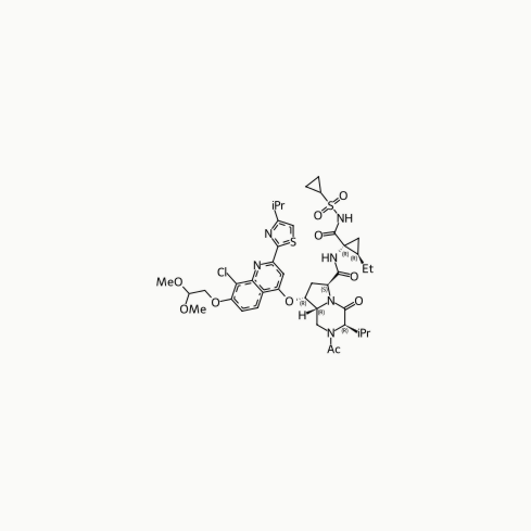 CC[C@@H]1C[C@]1(NC(=O)[C@@H]1C[C@@H](Oc2cc(-c3nc(C(C)C)cs3)nc3c(Cl)c(OCC(OC)OC)ccc23)[C@H]2CN(C(C)=O)[C@H](C(C)C)C(=O)N21)C(=O)NS(=O)(=O)C1CC1